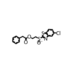 O=C(Cc1ccccc1)OCC[S+]([O-])c1nc2cc(Cl)ccc2s1